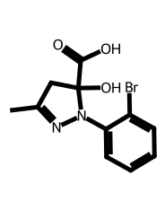 CC1=NN(c2ccccc2Br)C(O)(C(=O)O)C1